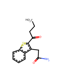 NC(=O)Cc1c(C(=O)CCC(=O)O)sc2ccccc12